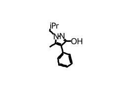 Cc1c(-c2ccccc2)c(O)nn1CC(C)C